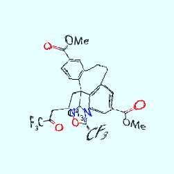 COC(=O)c1ccc2c(c1)CCc1cc(C(=O)OC)ccc1C2(C[C@H](C)CC(=O)C(F)(F)F)c1noc(C(F)(F)F)n1